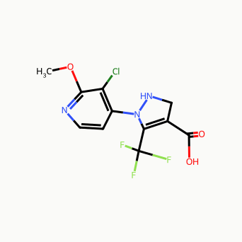 COc1nccc(N2NCC(C(=O)O)=C2C(F)(F)F)c1Cl